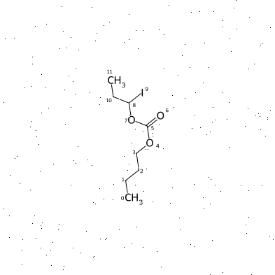 CCCCOC(=O)OC(I)CC